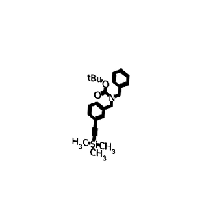 CC(C)(C)OC(=O)N(Cc1ccccc1)Cc1cccc(C#C[Si](C)(C)C)c1